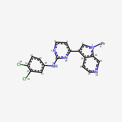 CC(C)n1cc(-c2ccnc(Nc3ccc(Cl)c(Cl)c3)n2)c2ccncc21